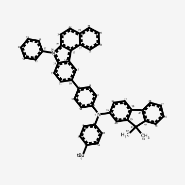 CC(C)(C)c1ccc(N(c2ccc(-c3ccc4c(c3)c3c5ccccc5ccc3n4-c3ccccc3)cc2)c2ccc3c(c2)C(C)(C)c2ccccc2-3)cc1